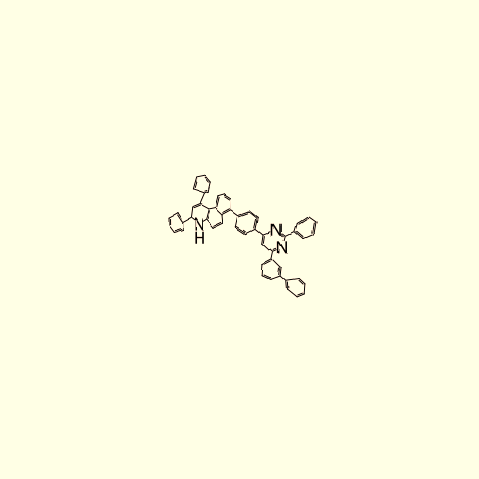 C1=C(c2ccccc2)c2c(ccc3c(-c4ccc(-c5cc(-c6cccc(-c7ccccc7)c6)nc(-c6ccccc6)n5)cc4)cccc23)NC1c1ccccc1